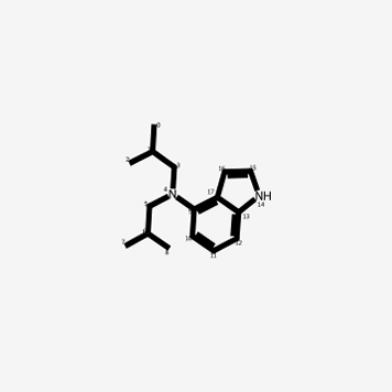 CC(C)CN(CC(C)C)c1cccc2[nH]ccc12